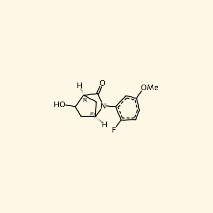 COc1ccc(F)c(N2C(=O)[C@H]3C[C@@H]2CC3O)c1